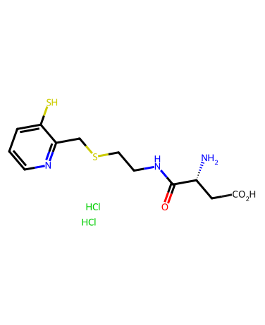 Cl.Cl.N[C@H](CC(=O)O)C(=O)NCCSCc1ncccc1S